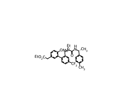 CCOC(=O)Cc1ccc(OC)c(-c2ccc(C(F)(F)F)cc2CN(CC)C(=O)N[C@H](C)c2ccc(C)cc2)c1